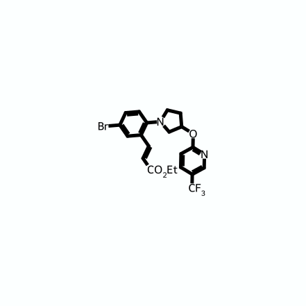 CCOC(=O)C=Cc1cc(Br)ccc1N1CCC(Oc2ccc(C(F)(F)F)cn2)C1